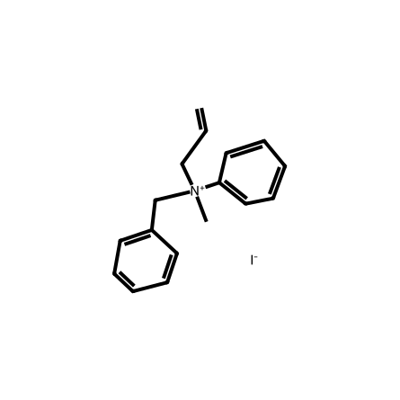 C=CC[N+](C)(Cc1ccccc1)c1ccccc1.[I-]